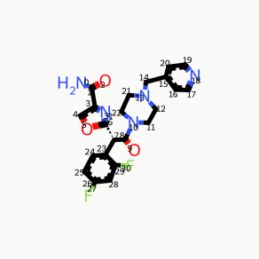 NC(=O)c1coc([C@H](C(=O)N2CCN(Cc3ccncc3)CC2)c2ccc(F)cc2F)n1